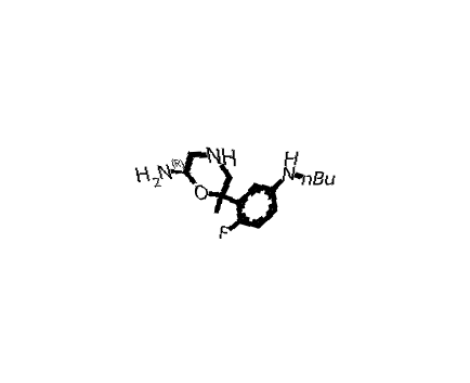 CCCCNc1ccc(F)c(C2(C)CNC[C@H](N)O2)c1